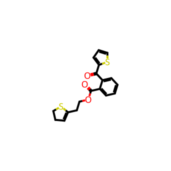 O=C(OCCC1=CCCS1)c1ccccc1C(=O)c1cccs1